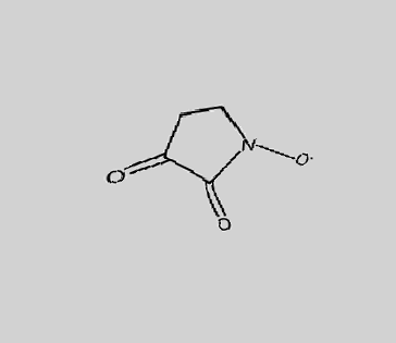 [O]N1CCC(=O)C1=O